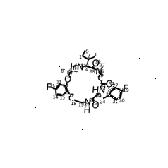 CCC(C)[C@@H]1NC[C@@H](C)Oc2cc(F)ccc2CCCNC(=O)[C@@H](Cc2ccc(F)cc2)NC(=O)CN(C)C1=O